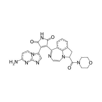 Nc1ccn2c(C3=C(C4=NC=CN5c6c(cccc64)CC5C(=O)N4CCOCC4)C(=O)NC3=O)cnc2n1